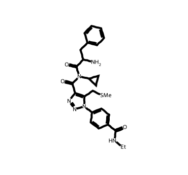 CCNC(=O)c1ccc(-n2nnc(C(=O)N(C(=O)C(N)Cc3ccccc3)C3CC3)c2CSC)cc1